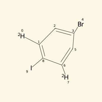 [2H]c1cc(Br)cc([2H])c1I